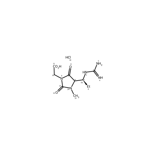 CC[C@H](NC(=N)N)C1C(=O)N(CC(=O)O)C(=O)N1C.Cl